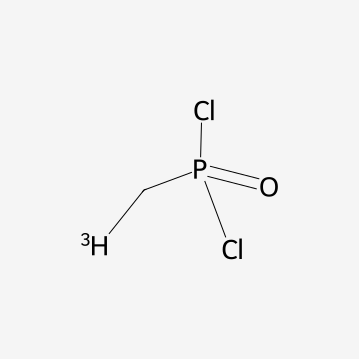 [3H]CP(=O)(Cl)Cl